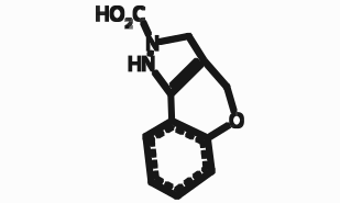 O=C(O)N1CC2=C(N1)c1ccccc1OC2